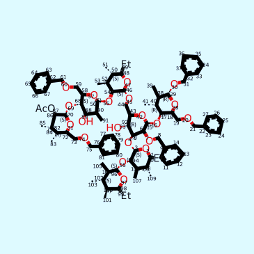 CCC1O[C@@H](O[C@@H]2C(OCc3ccccc3)[C@H](O[C@@H]3C(COCc4ccccc4)O[C@@H](OCc4ccccc4)C(C)[C@H]3C)OC(CO[C@H]3OC(CC)[C@@H](C)[C@H](C)C3O[C@@H]3OC(COCc4ccccc4)[C@@H](O[C@@H]4OC(COCc5ccccc5)[C@H](C)[C@H](C)C4OC(C)=O)[C@H](O)C3C)[C@H]2O)[C@@H](O[C@@H]2OC(CC)[C@@H](C)[C@H](C)C2C)C(C)[C@H]1C